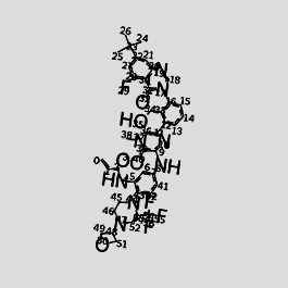 C=CC(=O)Nc1cc(Nc2nc(-c3cccc(-n4cnc5cc(C(C)(C)C)cc(F)c5c4=O)c3CO)cn(C)c2=O)ccc1N1CCN(C2COC2)C[C@@H]1C(F)(F)F